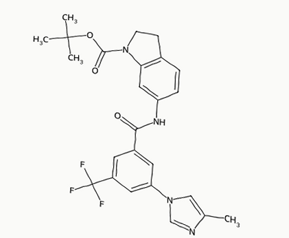 Cc1cn(-c2cc(C(=O)Nc3ccc4c(c3)N(C(=O)OC(C)(C)C)CC4)cc(C(F)(F)F)c2)cn1